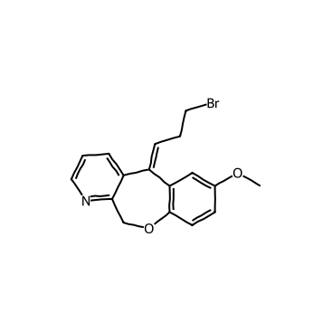 COc1ccc2c(c1)C(=CCCBr)c1cccnc1CO2